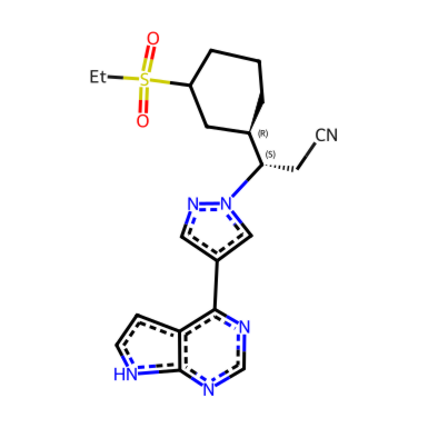 CCS(=O)(=O)C1CCC[C@@H]([C@H](CC#N)n2cc(-c3ncnc4[nH]ccc34)cn2)C1